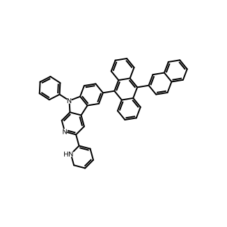 C1=CCNC(c2cc3c4cc(-c5c6ccccc6c(-c6ccc7ccccc7c6)c6ccccc56)ccc4n(-c4ccccc4)c3cn2)=C1